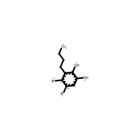 CCCCc1c(O)c(O)cc(Br)c1Br